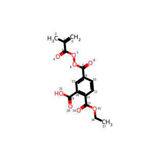 C=C(C)C(=O)OOC(=O)c1ccc(C(=O)OCC)c(C(=O)O)c1